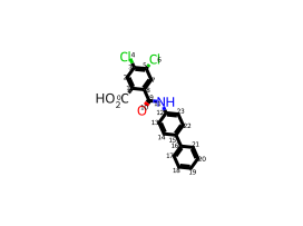 O=C(O)c1cc(Cl)c(Cl)cc1C(=O)Nc1ccc(-c2ccccc2)cc1